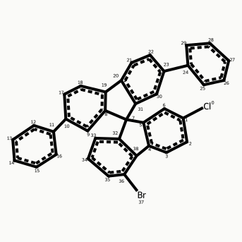 Clc1ccc2c(c1)C1(c3cc(-c4ccccc4)ccc3-c3ccc(-c4ccccc4)cc31)c1cccc(Br)c1-2